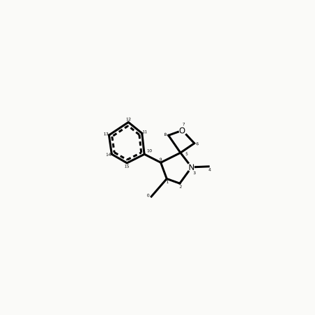 CC1CN(C)C2(COC2)C1c1ccccc1